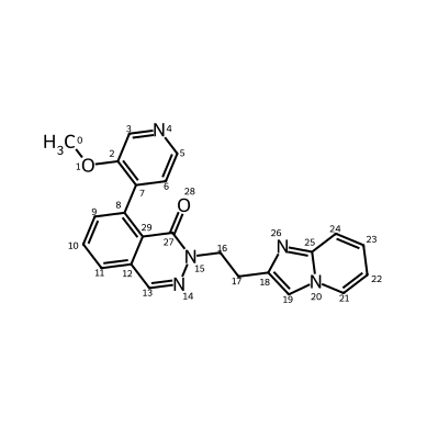 COc1cnccc1-c1cccc2cnn(CCc3cn4ccccc4n3)c(=O)c12